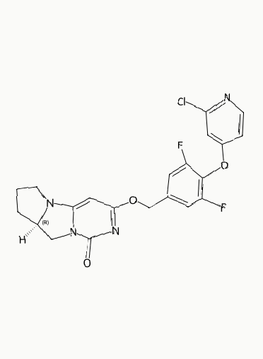 O=c1nc(OCc2cc(F)c(Oc3ccnc(Cl)c3)c(F)c2)cc2n1C[C@H]1CCCN21